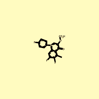 Cc1c(F)c(F)cc2c1c(=O)c(OC(=O)O)cn2-c1ccc(F)cc1